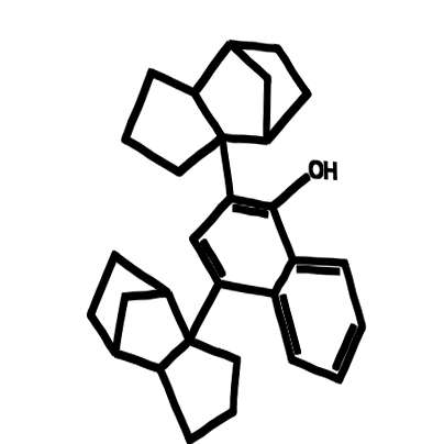 Oc1c(C23CCCC2C2CCC3C2)cc(C23CCCC2C2CCC3C2)c2ccccc12